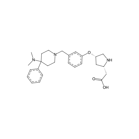 CN(C)C1(c2ccccc2)CCN(Cc2cccc(O[C@@H]3CN[C@H](CC(=O)O)C3)c2)CC1